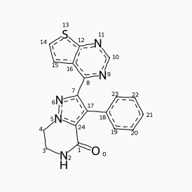 O=C1NCCn2nc(-c3ncnc4sccc34)c(-c3ccccc3)c21